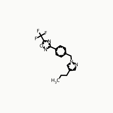 CCCc1cnn(Cc2ccc(-c3noc(C(F)(F)F)n3)cc2)c1